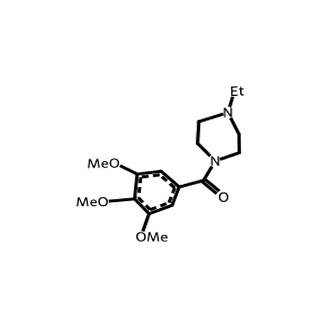 CCN1CCN(C(=O)c2cc(OC)c(OC)c(OC)c2)CC1